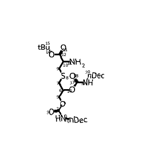 CCCCCCCCCCNC(=O)OCC(CSCC(N)C(=O)OC(C)(C)C)OC(=O)NCCCCCCCCCC